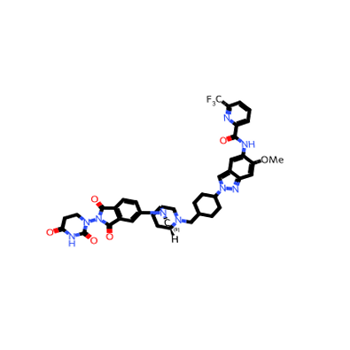 COc1cc2nn(C3CCC(CN4CC5CC[C@@H]4CN5c4ccc5c(c4)C(=O)N(N4CCC(=O)NC4=O)C5=O)CC3)cc2cc1NC(=O)c1cccc(C(F)(F)F)n1